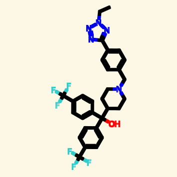 CCn1nnc(-c2ccc(CN3CCC(C(O)(c4ccc(C(F)(F)F)cc4)c4ccc(C(F)(F)F)cc4)CC3)cc2)n1